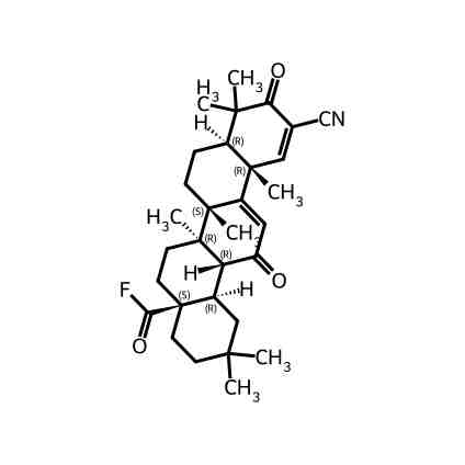 CC1(C)CC[C@]2(C(=O)F)CC[C@]3(C)[C@H](C(=O)C=C4[C@@]5(C)C=C(C#N)C(=O)C(C)(C)[C@@H]5CC[C@]43C)[C@H]2C1